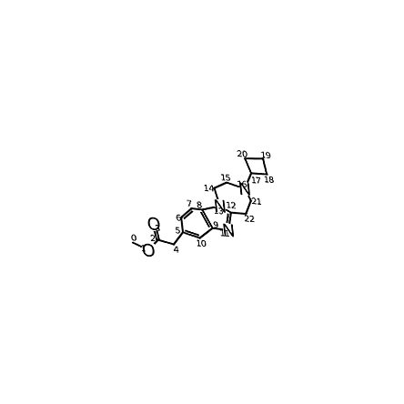 COC(=O)Cc1ccc2c(c1)nc1n2CCN(C2CCC2)CC1